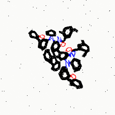 Cc1ccc(C)c(-c2nc3c(N(c4ccccc4)c4cccc5c4oc4ccccc45)cc4c(c3o2)-c2c(cc(N(c3ccccc3)c3cccc5c3oc3ccccc35)c3nc(-c5cc(C)ccc5C)oc23)C42c3ccccc3-c3ccccc32)c1